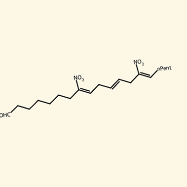 CCCCC/C=C(/C/C=C/C/C=C(/CCCCCC[C]=O)[N+](=O)[O-])[N+](=O)[O-]